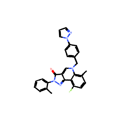 Cc1ccccc1-n1nc2c3c(F)ccc(C)c3n(Cc3ccc(-n4cccn4)cc3)cc-2c1=O